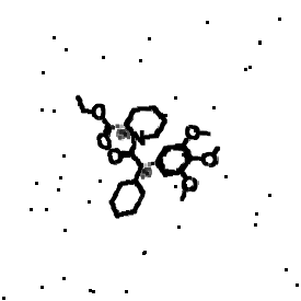 CCOC(=O)[C@@H]1CCCCN1C(=O)[C@H](c1cc(OC)c(OC)c(OC)c1)C1CCCCC1